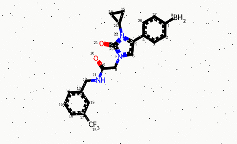 Bc1ccc(-c2cn(CC(=O)NCc3cccc(C(F)(F)F)c3)c(=O)n2C2CC2)cc1